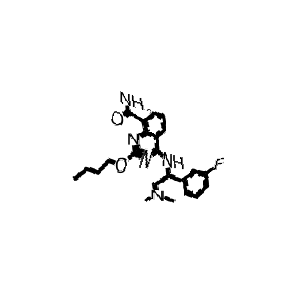 CCCCOc1nc(NC(CN(C)C)c2cccc(F)c2)c2cccc(C(N)=O)c2n1